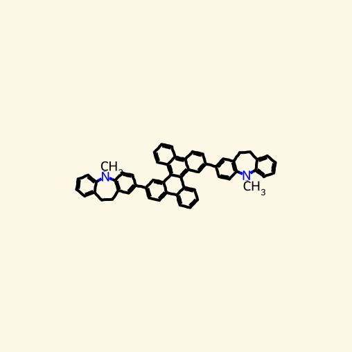 CN1c2ccccc2CCc2cc(-c3ccc4c5ccccc5c5c6cc(-c7ccc8c(c7)CCc7ccccc7N8C)ccc6c6ccccc6c5c4c3)ccc21